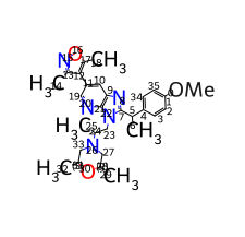 COc1ccc(C(C)c2nc3cc(-c4c(C)noc4C)cnc3n2CC(C)N2C[C@@H](C)O[C@@H](C)C2)cc1